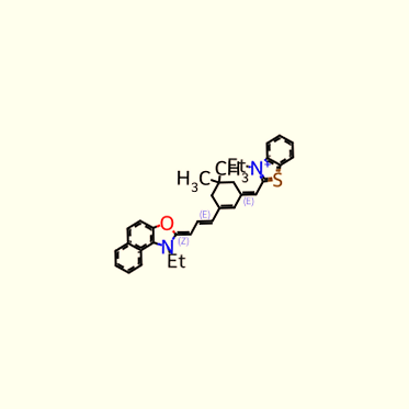 CCN1/C(=C/C=C/C2=CC(=C/c3sc4ccccc4[n+]3CC)/CC(C)(C)C2)Oc2ccc3ccccc3c21